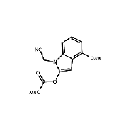 COC(=O)Oc1cc2c(OC)cccc2n1CC#N